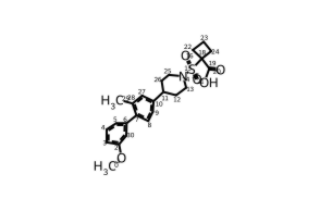 COc1cccc(-c2ccc(C3CCN(S(=O)(=O)C4(C(=O)O)CCC4)CC3)cc2C)c1